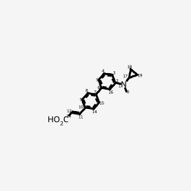 CN(c1cccc(-c2ccc(/C=C/C(=O)O)cc2)c1)C1CC1